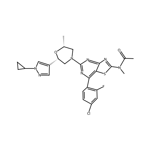 CC(=O)N(C)c1nc2nc(N3C[C@@H](C)O[C@@H](c4cnn(C5CC5)c4)C3)nc(-c3ccc(Cl)cc3F)c2s1